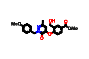 COC(=O)c1ccc(Oc2cc(C)nn(Cc3ccc(OC)cc3)c2=O)c(CO)c1